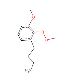 COOc1c(CCC[SiH3])cccc1OC